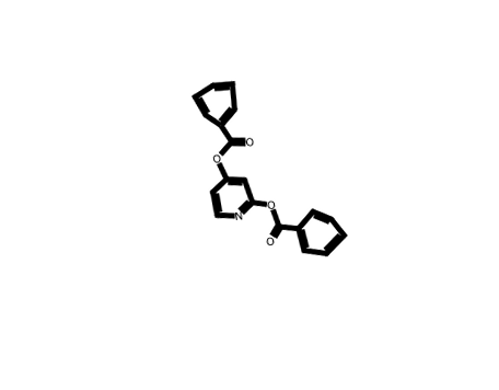 O=C(Oc1ccnc(OC(=O)c2ccccc2)c1)c1ccccc1